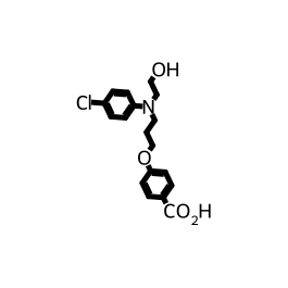 O=C(O)c1ccc(OCCCN(CCO)c2ccc(Cl)cc2)cc1